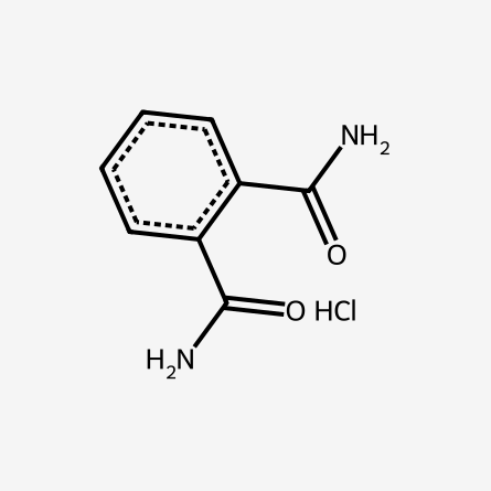 Cl.NC(=O)c1ccccc1C(N)=O